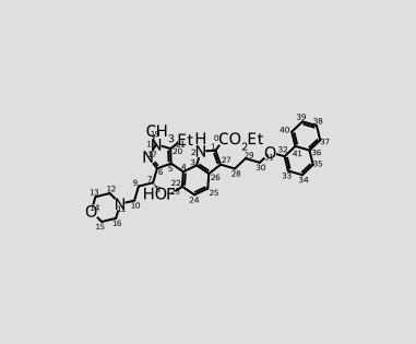 CCOC(=O)c1[nH]c2c(-c3c([C@H](O)CCN4CCOCC4)nn(C)c3CC)c(F)ccc2c1CCCOc1cccc2ccccc12